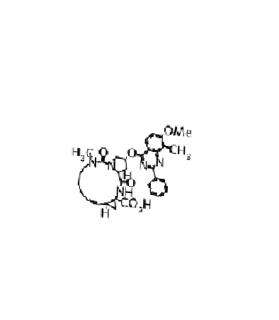 COc1ccc2c(O[C@@H]3C[C@H]4C(=O)NC5(C(=O)O)C[C@H]5/C=C\CCCCN(C)C(=O)N4C3)nc(-c3ccccc3)nc2c1C